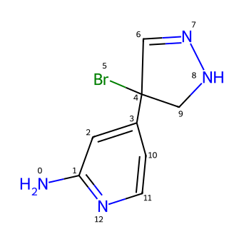 Nc1cc(C2(Br)C=NNC2)ccn1